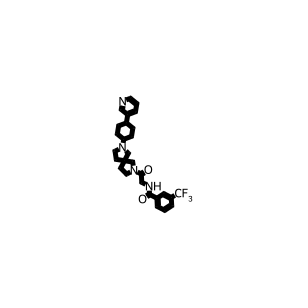 O=C(NCC(=O)N1CCC2(CCN(C3CCC(c4cccnc4)CC3)C2)C1)c1cccc(C(F)(F)F)c1